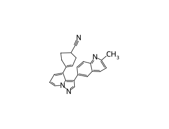 Cc1ccc2cc(-c3cnn4cccc(C5=CCC(C#N)CC5)c34)ccc2n1